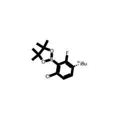 CC[C@@H](C)c1ccc(Cl)c(B2OC(C)(C)C(C)(C)O2)c1F